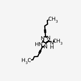 CCCCC#Cc1nc(NC)c2nc(C#CCCCC)[nH]c2n1